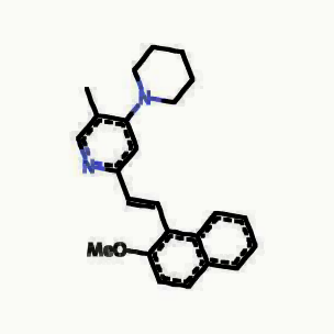 COc1ccc2ccccc2c1/C=C/c1cc(N2CCCCC2)c(C)cn1